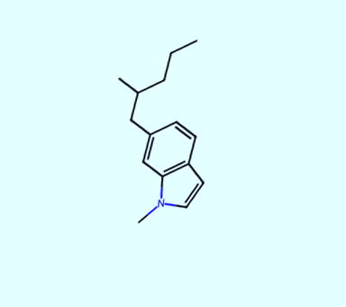 CCCC(C)Cc1ccc2ccn(C)c2c1